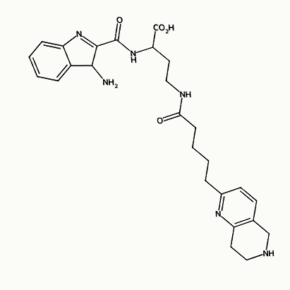 NC1C(C(=O)NC(CCNC(=O)CCCCc2ccc3c(n2)CCNC3)C(=O)O)=Nc2ccccc21